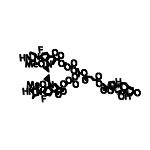 COc1c(N2CCNC(C)C2)c(F)cc2c(=O)c(C(=O)OCOC(=O)OCC(COC(=O)OCOC(=O)c3cn(C4CC4)c4c(OC)c(N5CCNC(C)C5)c(F)cc4c3=O)OC(=O)CCC(=O)OCC(=O)[C@@]34CC[C@H]5[C@@H]6CCC7=CC(=O)CC[C@]7(C)C6[C@@H](O)C[C@@]53O4)cn(C3CC3)c12